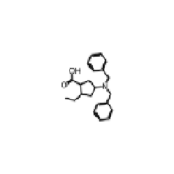 CCC1CC(N(Cc2ccccc2)Cc2ccccc2)CC1C(=O)O